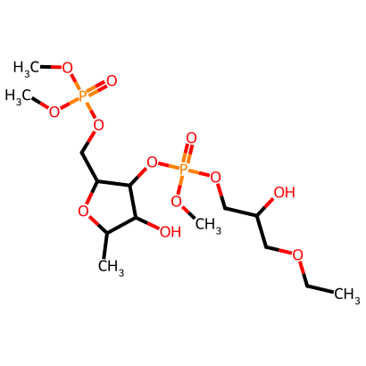 CCOCC(O)COP(=O)(OC)OC1C(COP(=O)(OC)OC)OC(C)C1O